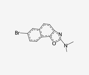 CN(C)c1nc2ccc3cc(Br)ccc3c2o1